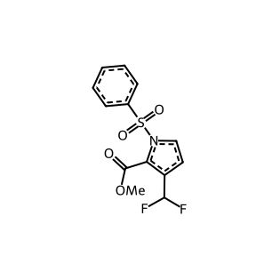 COC(=O)c1c(C(F)F)ccn1S(=O)(=O)c1ccccc1